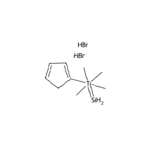 Br.Br.[CH3][Ti]([CH3])([CH3])([CH3])(=[SiH2])[C]1=CC=CC1